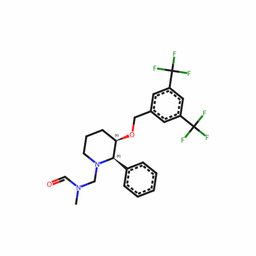 CN(C=O)CN1CCC[C@@H](OCc2cc(C(F)(F)F)cc(C(F)(F)F)c2)[C@H]1c1ccccc1